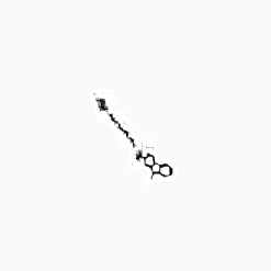 [CH2]C1c2ccccc2-c2ccc(C(=O)NCCOCCOCCN=[N+]=[N-])cc21